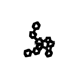 c1ccc(-c2cccc(-c3nc(-c4cccc(-c5ccccc5)c4)nc(-n4ccc5ncc6c7ccccc7n(-c7ccccc7)c6c54)n3)c2)cc1